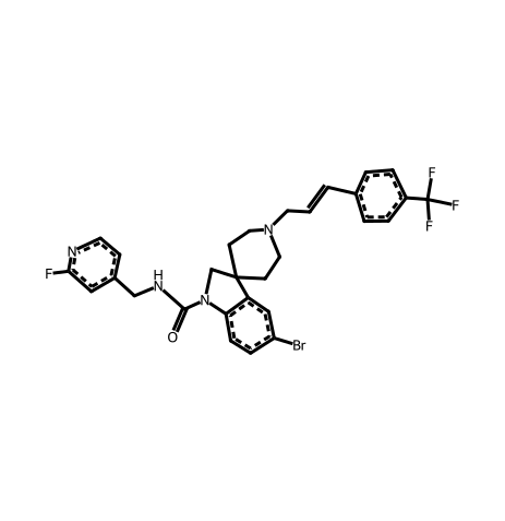 O=C(NCc1ccnc(F)c1)N1CC2(CCN(C/C=C/c3ccc(C(F)(F)F)cc3)CC2)c2cc(Br)ccc21